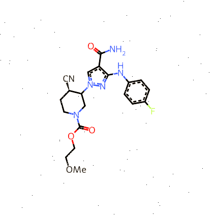 COCCOC(=O)N1CC[C@@H](C#N)C(n2cc(C(N)=O)c(Nc3ccc(F)cc3)n2)C1